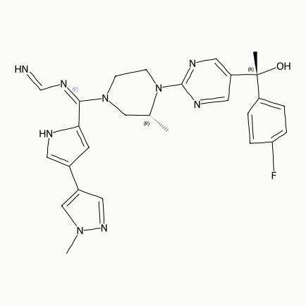 C[C@@H]1CN(/C(=N/C=N)c2cc(-c3cnn(C)c3)c[nH]2)CCN1c1ncc([C@](C)(O)c2ccc(F)cc2)cn1